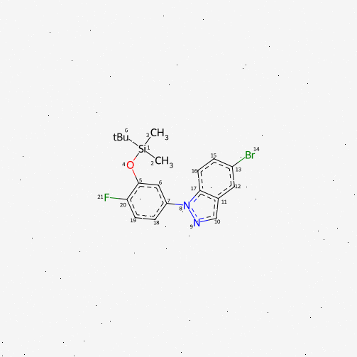 CC(C)(C)[Si](C)(C)Oc1cc(-n2ncc3cc(Br)ccc32)ccc1F